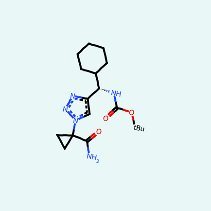 CC(C)(C)OC(=O)N[C@H](c1cn(C2(C(N)=O)CC2)nn1)C1CCCCC1